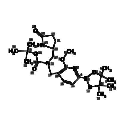 COc1nc(B2OC(C)(C)C(C)(C)O2)ccc1CN(C[C@@H]1CCC(=O)N1)C(=O)OC(C)(C)C